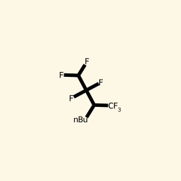 CCCCC(C(F)(F)F)C(F)(F)C(F)F